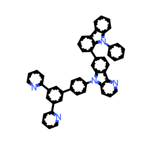 c1ccc(-n2c3ccccc3c3cccc(-c4ccc5c6ncccc6n(-c6ccc(-c7cc(-c8ccccn8)cc(-c8ccccn8)c7)cc6)c5c4)c32)cc1